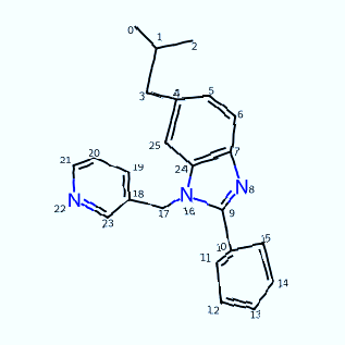 CC(C)Cc1ccc2nc(-c3ccccc3)n(Cc3cccnc3)c2c1